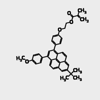 C=C(C)C(=O)OCCOc1ccc(-c2cc(-c3ccc(OC)cc3)c3ccc4cc(C(C)(C)C)cc5ccc2c3c45)cc1